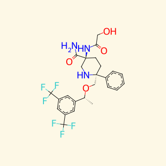 C[C@@H](OC[C@@]1(c2ccccc2)CC[C@@](NC(=O)CO)(C(N)=O)CN1)c1cc(C(F)(F)F)cc(C(F)(F)F)c1